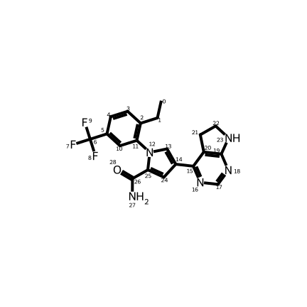 CCc1ccc(C(F)(F)F)cc1-n1cc(-c2ncnc3c2CCN3)cc1C(N)=O